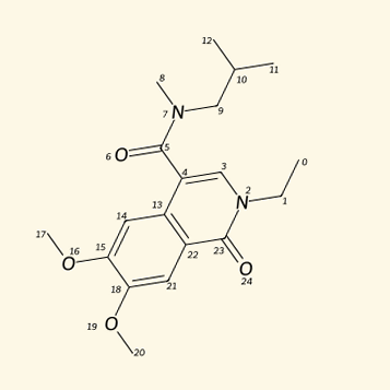 CCn1cc(C(=O)N(C)CC(C)C)c2cc(OC)c(OC)cc2c1=O